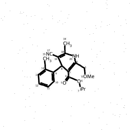 COCC1=C(C(=O)OC(C)C)C(c2ccccc2C)C(C#N)=C(C)N1